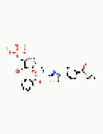 COC(=O)c1ccc(-c2csc(N(Cc3ccc(CP(=O)(OF)OF)c(Br)c3)S(=O)(=O)c3ccccc3)n2)cc1